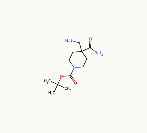 CC(C)(C)OC(=O)N1CCC(CN)(C(N)=O)CC1